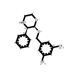 FC(F)(F)c1cc(CO[C@@H]2OCCN[C@@H]2c2ccccc2)cc(C(F)(F)F)c1